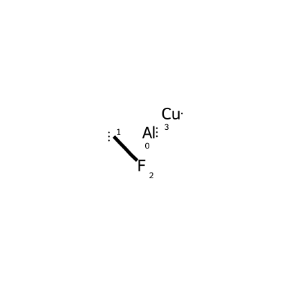 [Al].[C]F.[Cu]